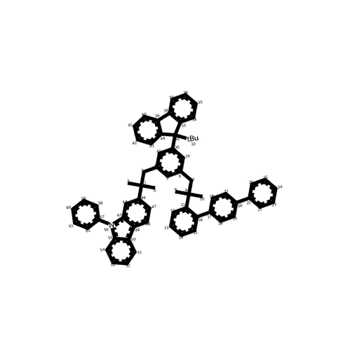 CC(C)(Cc1cc(CC(C)(C)c2ccccc2-c2ccc(-c3ccccc3)cc2)cc(C2(C(C)(C)C)c3ccccc3-c3ccccc32)c1)c1ccc2c3ccccc3n(-c3ccccc3)c2c1